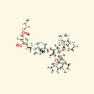 C=C1C(=CC=C2CCC[C@]3(C)[C@@H](C(C)(C)C=CC(O)C(C)(C)OC(=O)OCCC)CC[C@@H]23)CC(O[Si](c2ccccc2)(c2ccccc2)C(C)(C)C)CC1O[Si](c1ccccc1)(c1ccccc1)C(C)(C)C